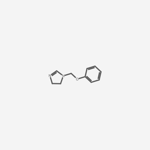 C1=NCCN1COc1ccccc1